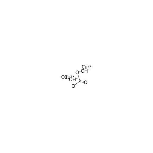 O=C([O-])[O-].[Cu+2].[Cu+2].[Cu].[OH-].[OH-]